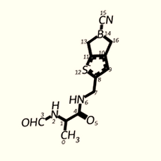 CC(NC=O)C(=O)NCc1cc2c(s1)CB(C#N)C2